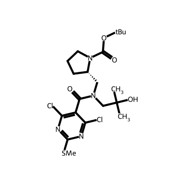 CSc1nc(Cl)c(C(=O)N(C[C@@H]2CCCN2C(=O)OC(C)(C)C)CC(C)(C)O)c(Cl)n1